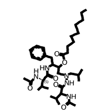 CCCCCCCCCC(=O)OC(CN(CC(C)C)NC(=O)C(NC(C)=O)C(C)C)C(Cc1ccccc1)NC(=O)[C@@H](NC(C)=O)C(C)C